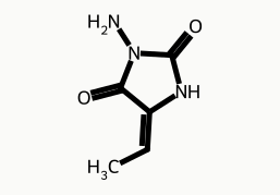 CC=C1NC(=O)N(N)C1=O